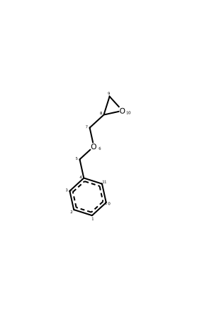 [c]1cc[c]c(COCC2CO2)c1